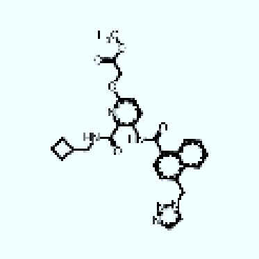 COC(=O)COc1ccc(NC(=O)c2ccc(Cn3ccnn3)c3ccccc23)c(C(=O)NCC2CCC2)n1